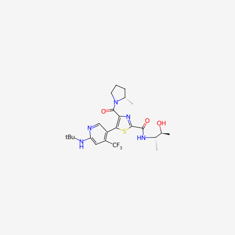 C[C@H](O)[C@H](C)NC(=O)c1nc(C(=O)N2CCC[C@@H]2C)c(-c2cnc(NC(C)(C)C)cc2C(F)(F)F)s1